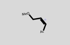 COC/C=C\C(C)=O